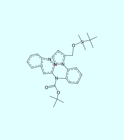 CC(C)(C)OC(=O)N(c1cnc2ccccc2c1)c1ccccc1-n1nccc1CO[Si](C)(C)C(C)(C)C